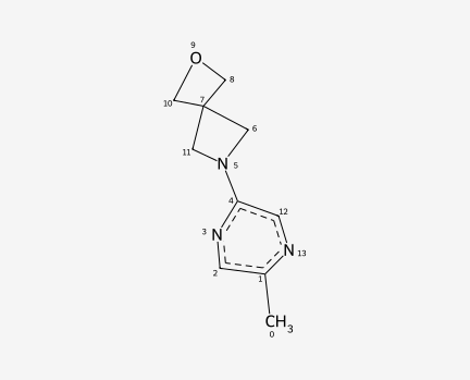 Cc1cnc(N2CC3(COC3)C2)cn1